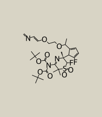 C=N/C=C/OCCOC(C)C1=CC=C(F)C1[C@@]1(C)N=C(N(C(=O)OC(C)(C)C)C(=O)OC(C)(C)C)C(C)(C)S(=O)(=O)C1F